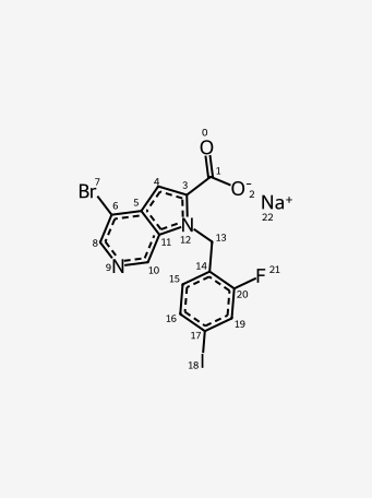 O=C([O-])c1cc2c(Br)cncc2n1Cc1ccc(I)cc1F.[Na+]